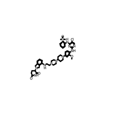 COc1cc(N2CCC(N3CCN(CCNc4cccc5c4CN(C4CCC(=O)NC4=O)C5)CC3)CC2)ccc1Nc1ncc(Cl)c(Nc2ccccc2P(C)(C)=O)n1